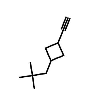 C#CC1CC(CC(C)(C)C)C1